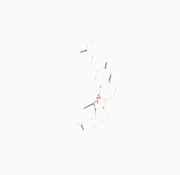 CC(=O)S[C@]1(O)CC[C@H]2[C@@H]3CCC4=CC(=O)C(CCC(=O)O)C[C@@]45COC(=O)[C@]21CCC35